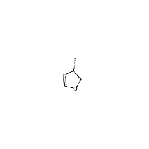 FC1C=COC1